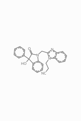 N#CCCn1c(CN2C(=O)C(O)(c3ccccc3)c3ccccc32)nc2ccccc21